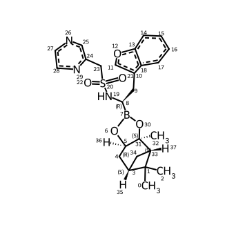 CC1(C)[C@@H]2C[C@H]3OB([C@H](Cc4coc5ccccc45)NS(=O)(=O)Cc4cnccn4)O[C@@]3(C)[C@H]1C2